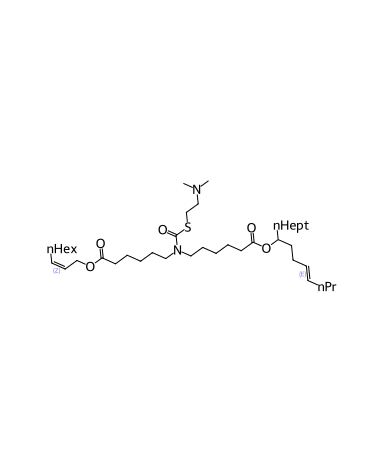 CCC/C=C/CCC(CCCCCCC)OC(=O)CCCCCN(CCCCCC(=O)OC/C=C\CCCCCC)C(=O)SCCN(C)C